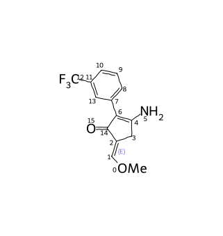 CO/C=C1\CC(N)=C(c2cccc(C(F)(F)F)c2)C1=O